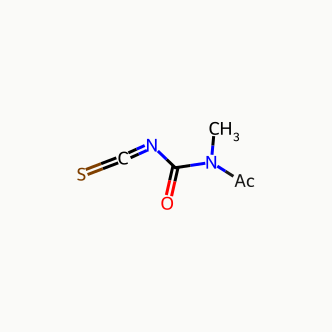 CC(=O)N(C)C(=O)N=C=S